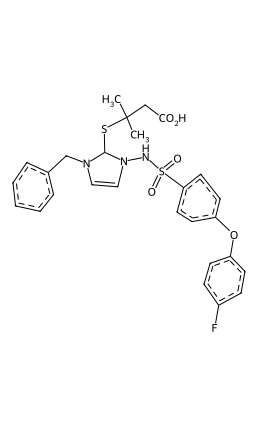 CC(C)(CC(=O)O)SC1N(Cc2ccccc2)C=CN1NS(=O)(=O)c1ccc(Oc2ccc(F)cc2)cc1